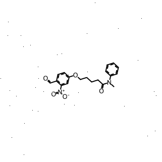 CN(C(=O)CCCCOc1ccc(C=O)c([N+](=O)[O-])c1)c1ccccc1